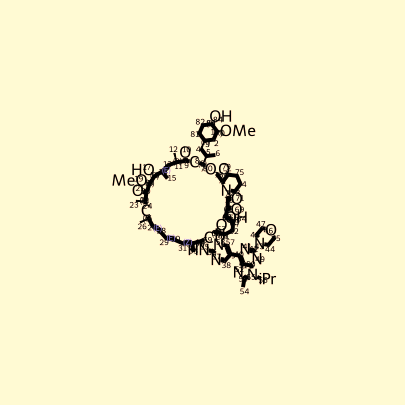 CO[C@@H]1C[C@@H](CC(C)[C@@H]2CC(=O)[C@H](C)/C=C(\C)[C@@H](O)[C@@H](OC)C(=O)[C@H](C)C[C@H](C)/C=C/C=C/C=C(/C)[C@H](Nc3ncc(-c4nc(N5CCOCC5)nc5c4nc(C)n5C(C)C)cn3)C[C@@H]3CC[C@@H](C)[C@@](O)(O3)C(=O)C(=O)N3CCCCC3C(=O)O2)CC[C@H]1O